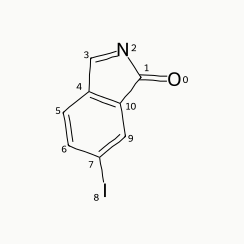 O=C1N=Cc2ccc(I)cc21